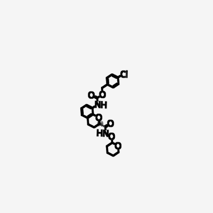 O=C(Nc1cccc2c1O[C@H](C(=O)NOC1CCCCO1)CC2)OCc1ccc(Cl)cc1